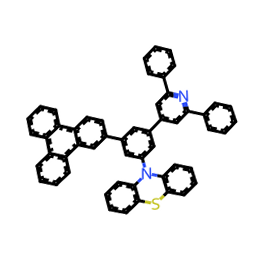 c1ccc(-c2cc(-c3cc(-c4ccc5c6ccccc6c6ccccc6c5c4)cc(N4c5ccccc5Sc5ccccc54)c3)cc(-c3ccccc3)n2)cc1